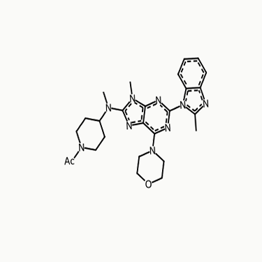 CC(=O)N1CCC(N(C)c2nc3c(N4CCOCC4)nc(-n4c(C)nc5ccccc54)nc3n2C)CC1